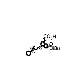 Cc1oc(C2CCCCC2)nc1CCOc1ccc(CCC(=O)O)c2c1CCN(C(=O)OCC(C)C)C2